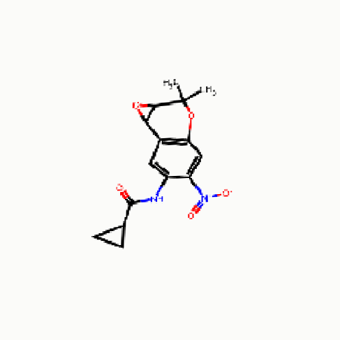 CC1(C)Oc2cc([N+](=O)[O-])c(NC(=O)C3CC3)cc2C2OC21